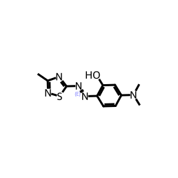 Cc1nsc(/N=N/c2ccc(N(C)C)cc2O)n1